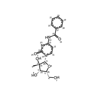 C[C@]1(O)[C@@H](O)[C@@H](CO)O[C@H]1n1ccc(NC(=O)c2ccccc2)nc1=O